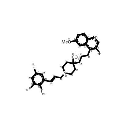 COc1ccc2ncc(F)c(CCCC3(C(=O)O)CCN(CC=Cc4cc(F)cc(F)c4F)CC3)c2c1